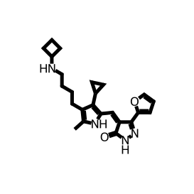 Cc1[nH]c(C=C2C(=O)NN=C2c2ccco2)c(C2CC2)c1CCCCNC1CCC1